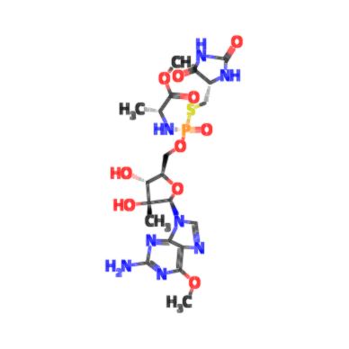 COC(=O)[C@@H](C)N[P@](=O)(OC[C@H]1O[C@@H](n2cnc3c(OC)nc(N)nc32)[C@](C)(O)[C@@H]1O)SC[C@H]1NC(=O)NC1=O